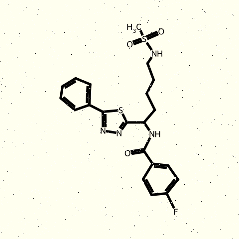 CS(=O)(=O)NCCCCC(NC(=O)c1ccc(F)cc1)c1nnc(-c2ccccc2)s1